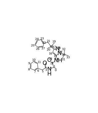 CC(NC(=O)Cc1ccccc1)C(=O)Nc1cc(C(C)(C)Cc2ccccc2)nn1C(C)(C)C